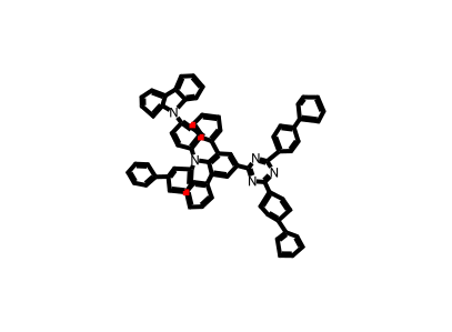 c1ccc(-c2ccc(-c3nc(-c4ccc(-c5ccccc5)cc4)nc(-c4cc(-c5ccccc5)c(N(c5ccc(-n6c7ccccc7c7ccccc76)cc5)c5cccc(-c6ccccc6)c5)c(-c5ccccc5)c4)n3)cc2)cc1